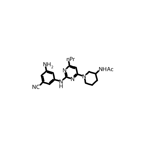 CCCc1cc(N2CCCC(NC(C)=O)C2)nc(Nc2cc(N)cc(C#N)c2)n1